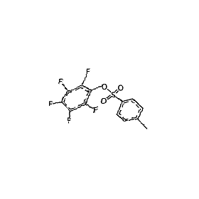 Cc1ccc(S(=O)(=O)Oc2c(F)c(F)c(F)c(F)c2F)cc1